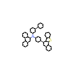 c1ccc(-c2cccc(N(c3ccc(-c4cc5ccccc5c5sc6ccccc6c45)cc3)c3cc4ccccc4c4ccccc34)c2)cc1